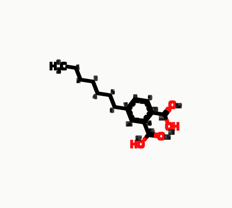 CCCCCCCc1ccc(C(=O)O)c(C(=O)O)c1